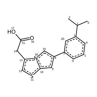 CC(C)c1cccc(-c2cc3scc(CC(=O)O)n3c2)c1